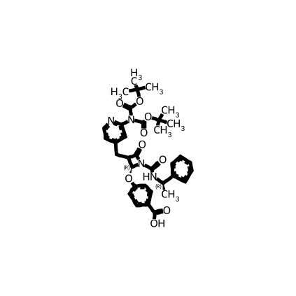 C[C@@H](NC(=O)N1C(=O)C(Cc2ccnc(N(C(=O)OC(C)(C)C)C(=O)OC(C)(C)C)c2)[C@H]1Oc1ccc(C(=O)O)cc1)c1ccccc1